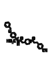 C[C@@](NC(=O)CC1CCN(C(=O)CCc2ccc(C#N)cc2)CC1)(C(=O)O)c1ccc(OCc2ccccc2)cc1